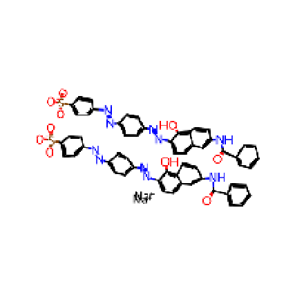 O=C(Nc1ccc2c(O)c(N=Nc3ccc(N=Nc4ccc(S(=O)(=O)[O-])cc4)cc3)ccc2c1)c1ccccc1.O=C(Nc1ccc2c(O)c(N=Nc3ccc(N=Nc4ccc(S(=O)(=O)[O-])cc4)cc3)ccc2c1)c1ccccc1.[Na+].[Na+]